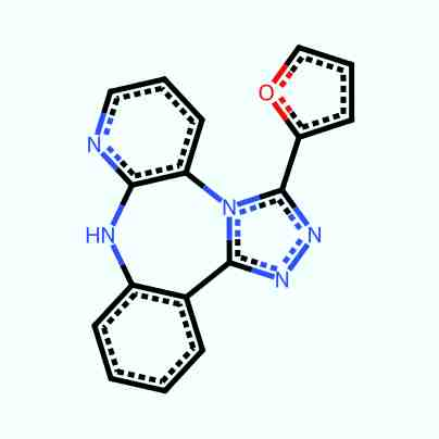 c1coc(-c2nnc3n2-c2cccnc2Nc2ccccc2-3)c1